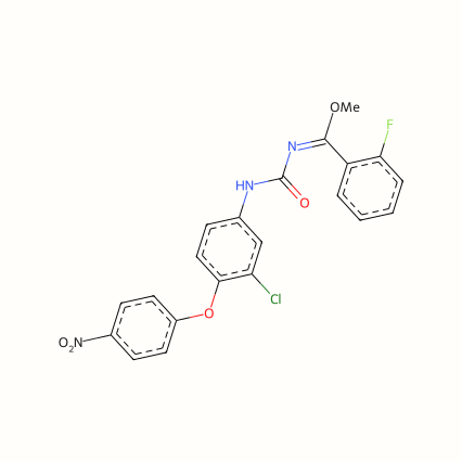 COC(=NC(=O)Nc1ccc(Oc2ccc([N+](=O)[O-])cc2)c(Cl)c1)c1ccccc1F